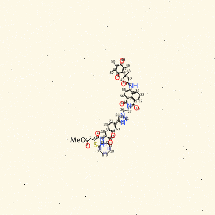 COC(=O)CC(SC1=C/C=C\C=C/C=C\1)C(=O)Nc1cc2ccc(-c3cn(CCN4C(=O)c5cccc6c(NC(=O)CC(C)(C)C7=C(C)C(=O)C(C)=C(C)C7=O)ccc(c56)C4=O)nn3)cc2oc1=O